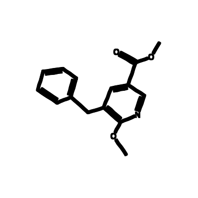 COC(=O)c1cnc(OC)c(Cc2ccccc2)c1